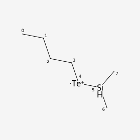 CCCC[Te+][SiH](C)C